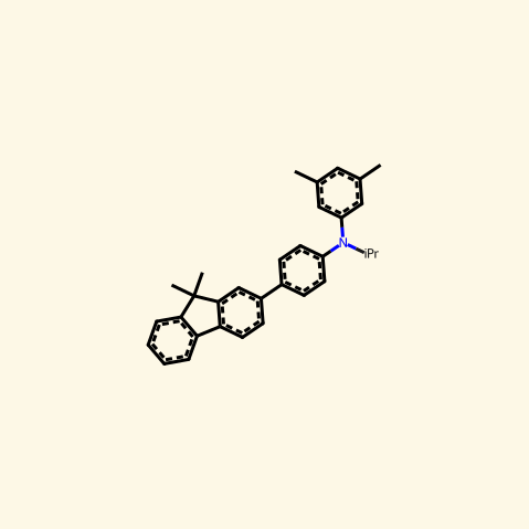 Cc1cc(C)cc(N(c2ccc(-c3ccc4c(c3)C(C)(C)c3ccccc3-4)cc2)C(C)C)c1